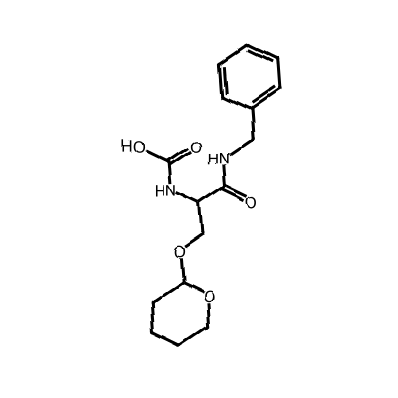 O=C(O)NC(COC1CCCCO1)C(=O)NCc1ccccc1